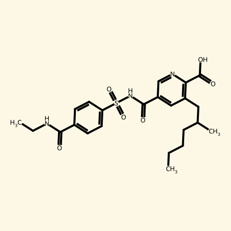 CCCCC(C)Cc1cc(C(=O)NS(=O)(=O)c2ccc(C(=O)NCC)cc2)cnc1C(=O)O